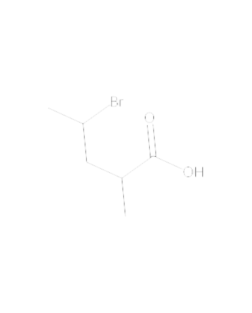 CC(Br)CC(C)C(=O)O